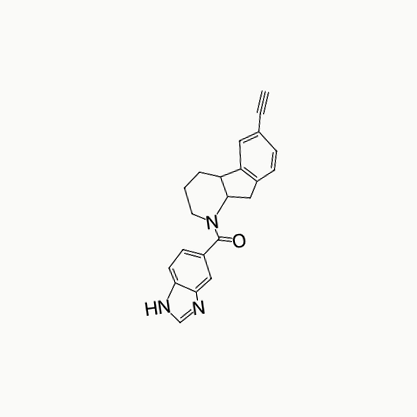 C#Cc1ccc2c(c1)C1CCCN(C(=O)c3ccc4[nH]cnc4c3)C1C2